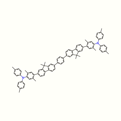 Cc1ccc(N(c2ccc(C)cc2)c2cc(C)c(-c3ccc4c(c3)C(C)(C)c3cc(-c5ccc(-c6ccc7c(c6)C(C)(C)c6cc(-c8cc(C)c(N(c9ccc(C)cc9)c9ccc(C)cc9)cc8C)ccc6-7)cc5)ccc3-4)cc2C)cc1